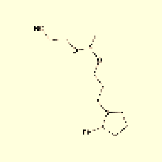 CCC1CCCN1CCCOP(C)OCCC#N